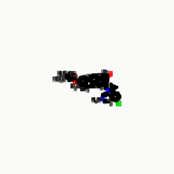 CC(C)C1=C2[C@H]3CC[C@@H]4[C@@]5(C)CC[C@H](OC(=O)CC(C)(C)C(=O)O)C(C)(C)[C@@H]5CC[C@@]4(C)[C@]3(C)CC[C@@]2(CCN(CCN(C)C)C2(c3ccc(Cl)cc3)CC2)CC1=O